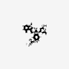 CCC[C@@H](CC(=O)O)n1c(=O)n(Cc2cn(C)c3cccc(C)c23)c2cc(NC(N)=O)ccc21